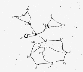 O=P(N1CC1)(N1CC1)C12CC3CC(CC(C3)C1)C2